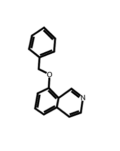 c1ccc(COc2cccc3ccncc23)cc1